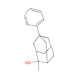 CC1(O)C2CC3CC1CC(c1ccccc1)(C3)C2